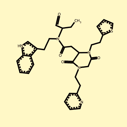 CCC(C=O)N(CCc1c[nH]c2ccccc12)C(=O)CC1C(=O)N(CCc2ccccn2)CC(=O)N1CCc1cccs1